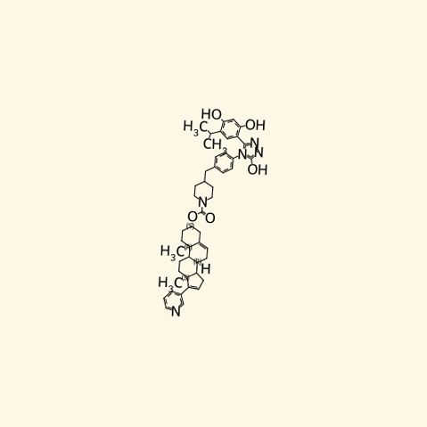 CC(C)c1cc(-c2nnc(O)n2-c2ccc(CC3CCN(C(=O)O[C@H]4CC[C@@]5(C)C(=CC[C@@H]6C5CC[C@]5(C)C(c7cccnc7)=CCC65)C4)CC3)cc2)c(O)cc1O